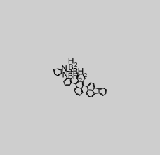 BC(B)(B)c1nc2ccccc2n1-c1cccc(-c2c3ccccc3c(-c3ccc4c5c(cccc35)-c3ccccc3-4)c3ccccc23)c1